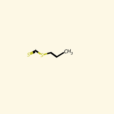 CCCS[C]=S